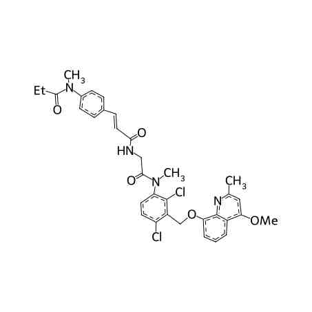 CCC(=O)N(C)c1ccc(C=CC(=O)NCC(=O)N(C)c2ccc(Cl)c(COc3cccc4c(OC)cc(C)nc34)c2Cl)cc1